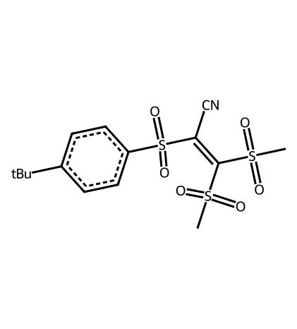 CC(C)(C)c1ccc(S(=O)(=O)C(C#N)=C(S(C)(=O)=O)S(C)(=O)=O)cc1